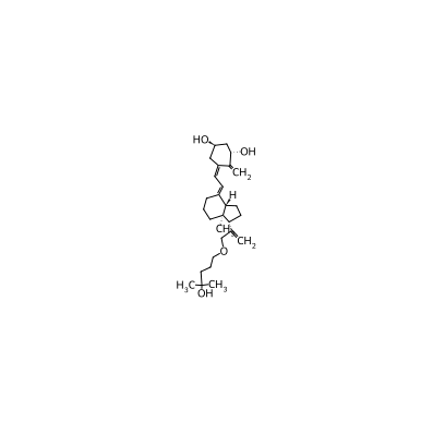 C=C(COCCCC(C)(C)O)[C@H]1CC[C@H]2/C(=C/C=C3/C[C@@H](O)C[C@H](O)C3=C)CCC[C@]12C